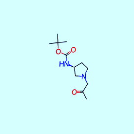 CC(=O)CN1CC[C@H](NC(=O)OC(C)(C)C)C1